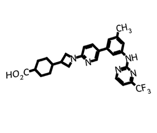 Cc1cc(Nc2nccc(C(F)(F)F)n2)cc(-c2ccc(N3CC(C4CCC(C(=O)O)CC4)C3)nc2)c1